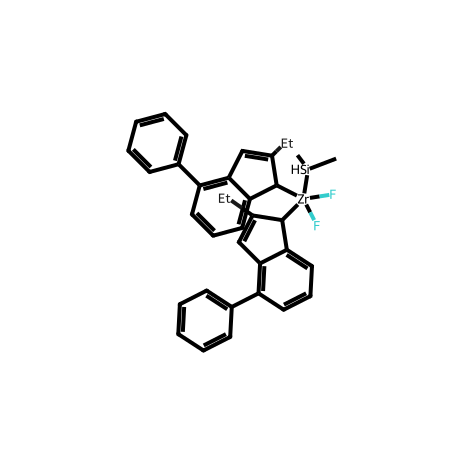 CCC1=Cc2c(-c3ccccc3)cccc2[CH]1[Zr]([F])([F])([CH]1C(CC)=Cc2c(-c3ccccc3)cccc21)[SiH](C)C